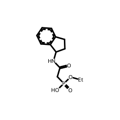 CCOP(=O)(O)CC(=O)NC1CCc2ccccc21